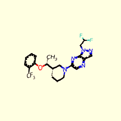 C[C@@H](Oc1ccccc1C(F)(F)F)[C@H]1CCCN(c2cnc3cnn(CC(F)F)c3n2)C1